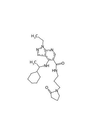 CCn1ncc2c(NC(C)C3CCCCC3)c(C(=O)NCCCN3CCCC3=O)cnc21